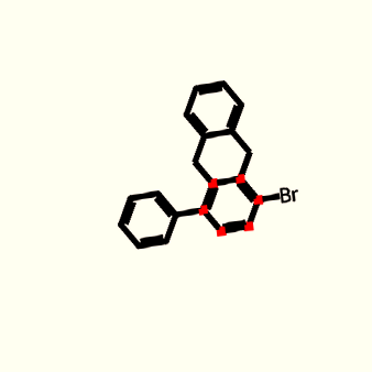 Brc1ccc(-c2ccccc2)c2c1C1c3ccccc3C2c2ccccc21